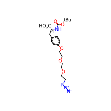 CC(C)(C)OC(=O)N[C@@H](Cc1ccc(OCCOCCOCCN=[N+]=[N-])cc1)C(=O)O